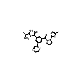 Cc1csc([C@H]2CCCN2C(=O)c2cc(C(=N)OC(=N)[C@H](C)N)cc(-c3cnccn3)c2)n1